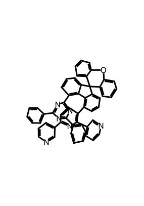 c1ccc(-c2nc(-c3ccccc3)nc(-c3cccc4c3-c3c(-c5ccc(-c6cccnc6)nc5-c5cccnc5)cccc3C43c4ccccc4Oc4ccccc43)n2)cc1